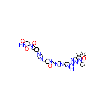 CC(=O)c1c(C)c2cnc(Nc3ccc(N4CCN(CCN5CCC(CN6CCN(c7ccc8c(c7)CN(C7CCC(=O)NC7=O)C8=O)CC6)CC5=O)CC4)cn3)nc2n(C2CCCC2)c1=O